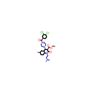 CCOC(=O)c1c(N2CCN(C(=O)c3ccc(Cl)c(Cl)c3)CC2)c2cc(C)ccc2n(CCN(C)C)c1=O